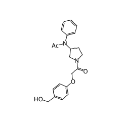 CC(=O)N(c1ccccc1)C1CCN(C(=O)COc2ccc(CO)cc2)C1